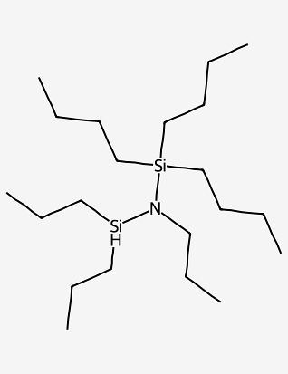 CCCC[Si](CCCC)(CCCC)N(CCC)[SiH](CCC)CCC